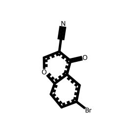 N#Cc1coc2ccc(Br)cc2c1=O